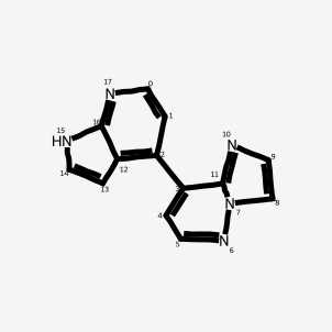 c1cc(-c2ccnn3ccnc23)c2cc[nH]c2n1